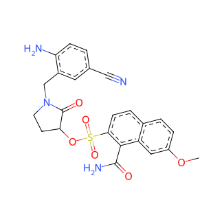 COc1ccc2ccc(S(=O)(=O)OC3CCN(Cc4cc(C#N)ccc4N)C3=O)c(C(N)=O)c2c1